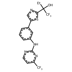 CCC(O)(c1ncc(-c2cccc(Nc3nccc(C(F)(F)F)n3)c2)s1)C(F)(F)F